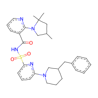 CC1CN(c2ncccc2C(=O)NS(=O)(=O)c2cccc(N3CCCC(Cc4ccccc4)C3)n2)C(C)(C)C1